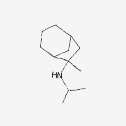 CC(C)NC1(C)CC2CCCC1C2